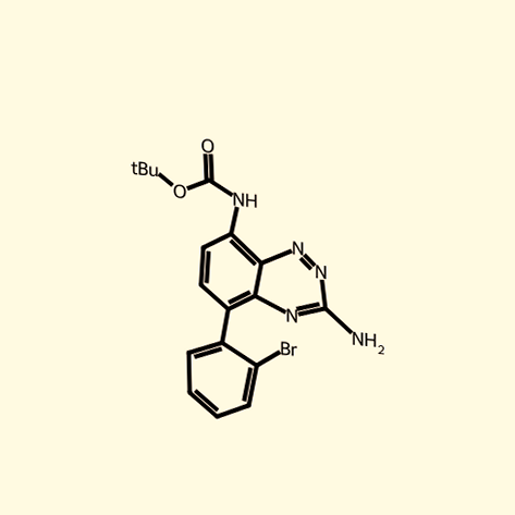 CC(C)(C)OC(=O)Nc1ccc(-c2ccccc2Br)c2nc(N)nnc12